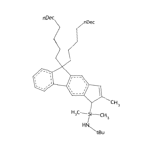 CCCCCCCCCCCCCCC1(CCCCCCCCCCCCCC)c2ccccc2-c2cc3c(cc21)C=C(C)C3[Si](C)(C)NC(C)(C)C